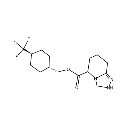 O=C(OC[C@H]1CC[C@H](C(F)(F)F)CC1)C1CCCC2=NNCN21